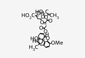 COc1ccc2c3c1O[C@H]1C(OC(=O)C[C@H](OC(=O)C[C@H](O)C(=O)O)C(=O)O[C@@H](C)C(=O)O)=CC[C@@]4(O)[C@@H](C2)C(C)CC[C@]314